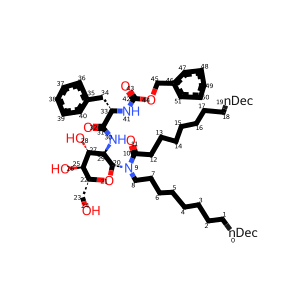 CCCCCCCCCCCCCCCCCCN(C(=O)CCCCCCCCCCCCCCCCC)[C@@H]1O[C@H](CO)[C@@H](O)[C@H](O)[C@H]1NC(=O)[C@H](Cc1ccccc1)NC(=O)OCc1ccccc1